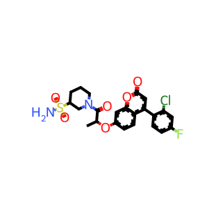 CC(Oc1ccc2c(-c3ccc(F)cc3Cl)cc(=O)oc2c1)C(=O)N1CCCC(S(N)(=O)=O)C1